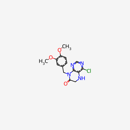 COc1ccc(CN2C(=O)CNc3c(Cl)ncnc32)cc1OC